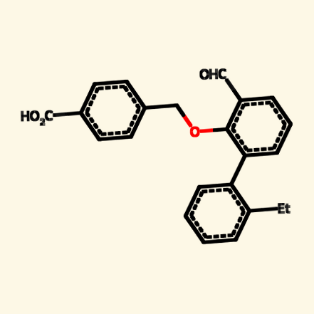 CCc1ccccc1-c1cccc(C=O)c1OCc1ccc(C(=O)O)cc1